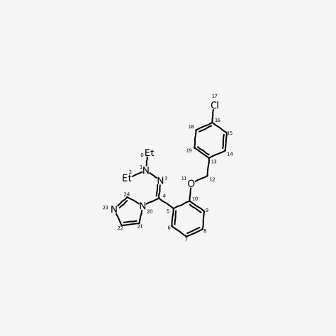 CCN(CC)N=C(c1ccccc1OCc1ccc(Cl)cc1)n1ccnc1